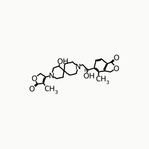 CC1=C(N2CCC3(CCN(C[C@H](O)c4ccc5c(c4C)COC5=O)CC3)C(O)C2)COC1=O